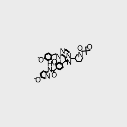 COc1ccc(NC(=O)c2ccc(-c3nc(C4CCCN(C(=O)C5(C)COC5)C4)n4ccnc(NCc5ccc(OC)cc5OC)c34)cc2)nc1